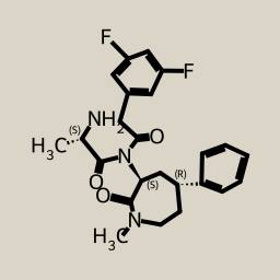 C[C@H](N)C(=O)N(C(=O)Cc1cc(F)cc(F)c1)[C@H]1C[C@H](c2ccccc2)CCN(C)C1=O